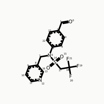 O=Cc1ccc(N(Cc2cccnc2)S(=O)(=O)CC(F)(F)F)cc1